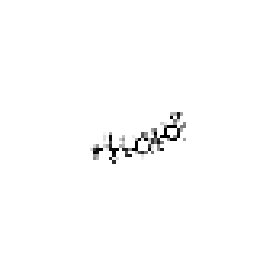 O=C(NOC1CCN(S(=O)(=O)c2cccc(C(F)(F)F)c2)CC1)NC1CC1